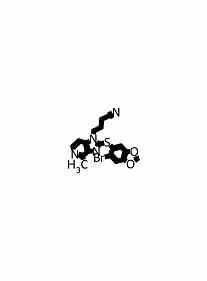 Cc1nccc2c1nc(Sc1cc3c(cc1Br)OCO3)n2CCCC#N